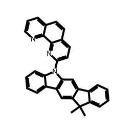 CC1(C)c2ccccc2-c2cc3c(cc21)c1ccccc1n3-c1ccc2ccc3cccnc3c2n1